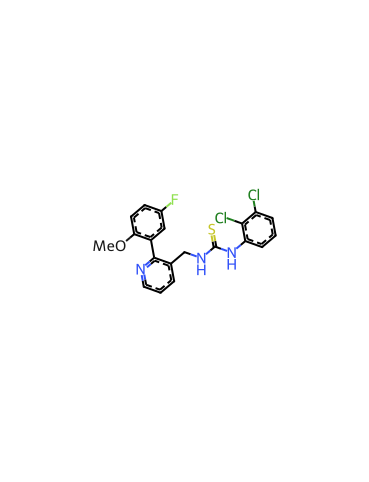 COc1ccc(F)cc1-c1ncccc1CNC(=S)Nc1cccc(Cl)c1Cl